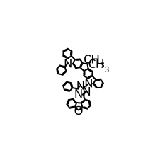 CC1(C)c2cc3c4ccccc4n(-c4ccccc4)c3cc2-c2cc3c(cc21)c1ccccc1n3-c1nc(-c2ccccc2)nc(-c2cccc3oc4ccccc4c23)n1